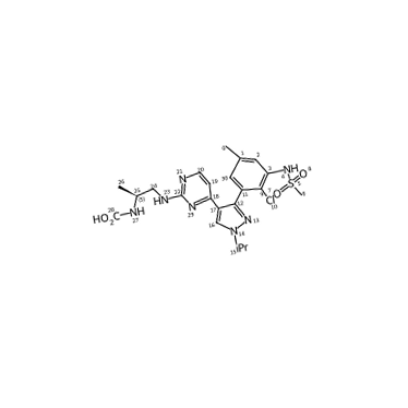 Cc1cc(NS(C)(=O)=O)c(Cl)c(-c2nn(C(C)C)cc2-c2ccnc(NC[C@H](C)NC(=O)O)n2)c1